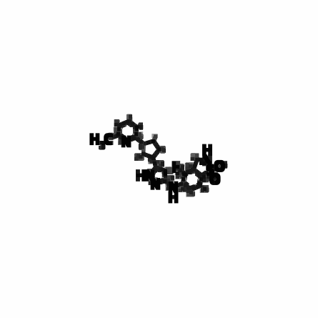 Cc1cccc(C2CCC(c3cc(Nc4ccc5c(c4F)CNS5(=O)=O)n[nH]3)C2)n1